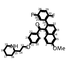 COc1ccc2c(C(=O)c3ccc(OCCC4CCCCN4)cc3)c(-c3cc(F)ccc3F)ccc2c1